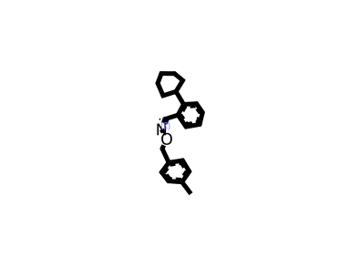 Cc1ccc(CO/N=[C]\c2ccccc2C2CCCCC2)cc1